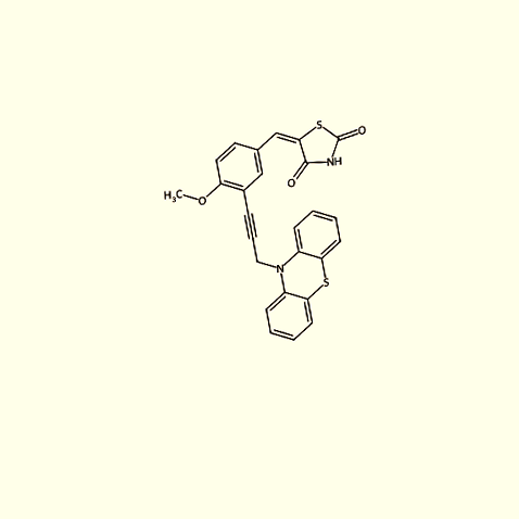 COc1ccc(C=C2SC(=O)NC2=O)cc1C#CCN1c2ccccc2Sc2ccccc21